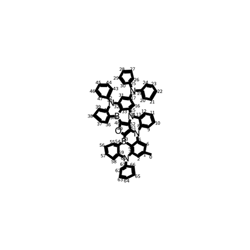 Cc1cc2c3c(c1)N1c4ccccc4N4c5cc(N(c6ccccc6)c6ccccc6)cc6c5B(c5ccccc5N6c5ccccc5)c5oc(c1c54)B3c1ccccc1N2c1ccccc1